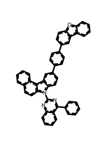 c1ccc(-c2nc(-n3c4ccc(-c5ccc(-c6ccc7oc8ccccc8c7c6)cc5)cc4c4c5ccccc5ccc43)nc3ccccc23)cc1